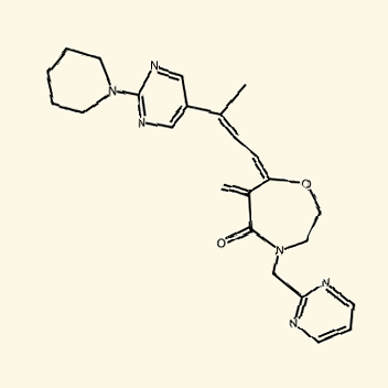 C=C1C(=O)N(Cc2ncccn2)CCO/C1=C/C=C(\C)c1cnc(N2CCCCC2)nc1